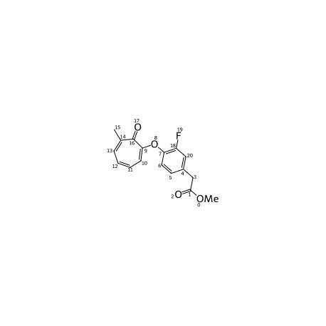 COC(=O)Cc1ccc(Oc2ccccc(C)c2=O)c(F)c1